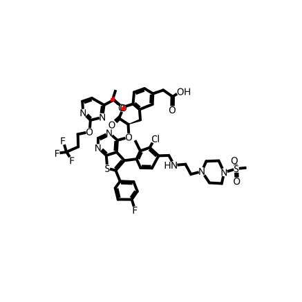 CCOC(=O)[C@@H](Cc1cc(CC(=O)O)ccc1OCc1ccnc(OCCC(F)(F)F)n1)Oc1ncnc2sc(-c3ccc(F)cc3)c(-c3ccc(CNCCN4CCN(S(C)(=O)=O)CC4)c(Cl)c3C)c12